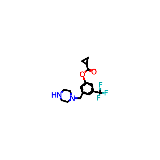 O=C(Oc1cc(CN2CCNCC2)cc(C(F)(F)F)c1)C1CC1